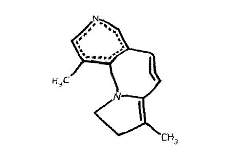 CC1=C2C=Cc3cncc(C)c3N2CC1